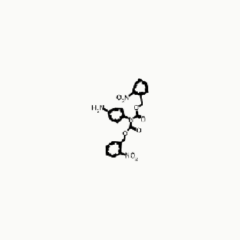 Nc1ccc(N(C(=O)OCc2ccccc2[N+](=O)[O-])C(=O)OCc2ccccc2[N+](=O)[O-])cc1